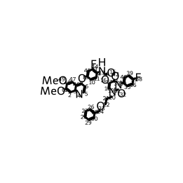 COc1cc2nccc(Oc3ccc(NC(=O)Oc4cn(CCCOCc5ccccc5)c(=O)n(-c5ccc(F)cc5)c4=O)c(F)c3)c2cc1OC